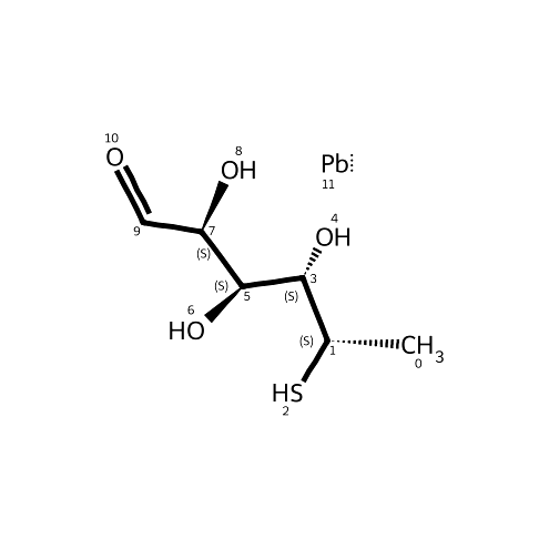 C[C@H](S)[C@@H](O)[C@@H](O)[C@H](O)C=O.[Pb]